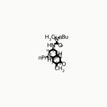 C=C1C[C@@H]2[C@@H](CC1=O)C[C@H](NC(=O)N(C)CCCC)CN2CCC